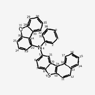 c1ccc(N(c2ccc3sc4ccc5ccccc5c4c3c2)c2cccc3oc4ccccc4c23)cc1